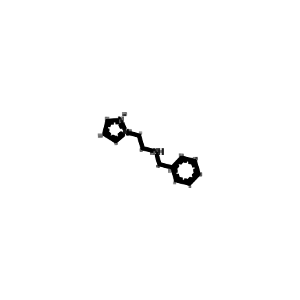 c1ccc(CNCCn2cccn2)cc1